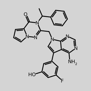 CC(c1ccccc1)n1c(Cn2cc(-c3cc(O)cc(F)c3)c3c(N)ncnc32)nn2cccc2c1=O